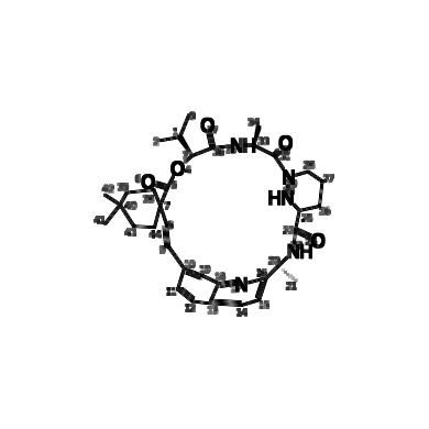 CC(C)[C@@H]1OC(=O)C2(/C=C/c3ccc4ccc(nc4c3)[C@@H](C)NC(=O)C3CCCN(N3)C(=O)[C@H](C)NC1=O)CCC(C)(C)CC2